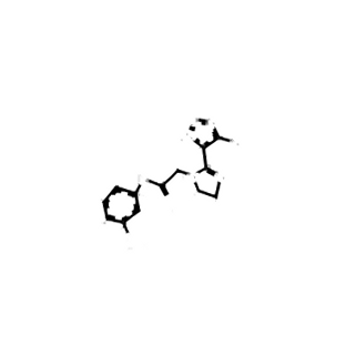 Nc1nonc1C1=NCCN1CC(=O)Nc1cccc(C(F)(F)F)c1